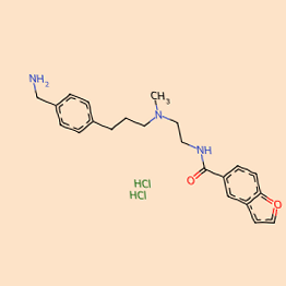 CN(CCCc1ccc(CN)cc1)CCNC(=O)c1ccc2occc2c1.Cl.Cl